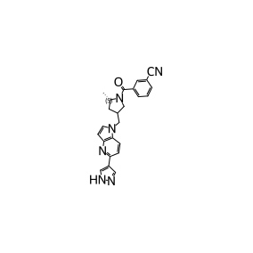 C[C@H]1CC(Cn2ccc3nc(-c4cn[nH]c4)ccc32)CN1C(=O)c1cccc(C#N)c1